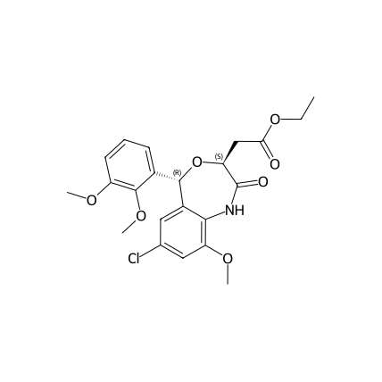 CCOC(=O)C[C@@H]1O[C@@H](c2cccc(OC)c2OC)c2cc(Cl)cc(OC)c2NC1=O